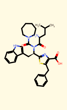 CC(C)C[C@H](N)C(=O)N(C(=O)N1CCCCCC1)[C@H](Cc1c[nH]c2ccccc12)c1nc(C(=O)O)c(Cc2ccccc2)s1